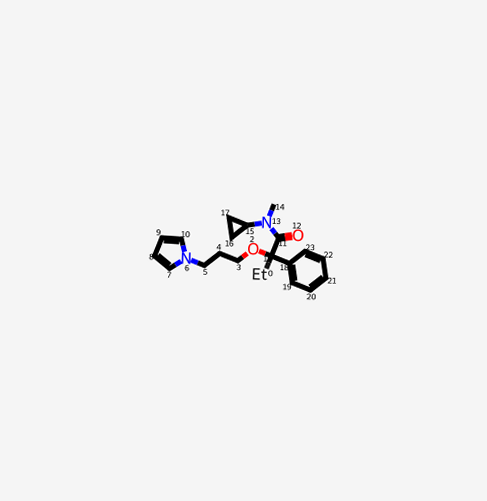 CCC(OCCCn1cccc1)(C(=O)N(C)C1CC1)c1ccccc1